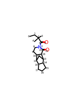 CCC(C)(C)C(=O)N1CCC2C3CC(C4CCCC34)C2C1=O